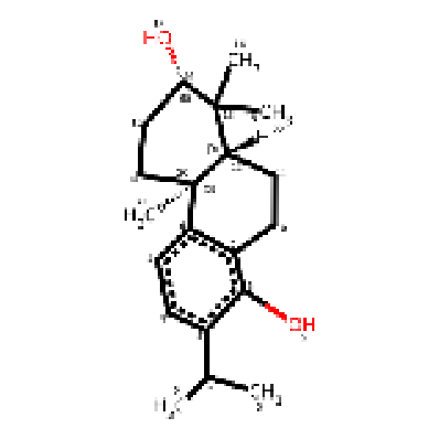 CC(C)c1ccc2c(c1O)CC[C@H]1C(C)(C)[C@@H](O)CC[C@]21C